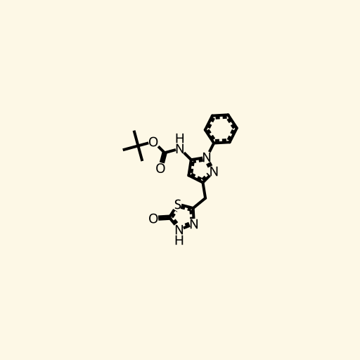 CC(C)(C)OC(=O)Nc1cc(Cc2n[nH]c(=O)s2)nn1-c1ccccc1